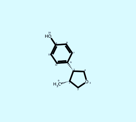 C[C@H]1COC[C@H]1c1ccc(O)cc1